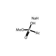 COP(=O)(O)C(C)=O.[NaH]